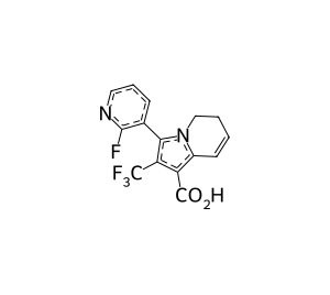 O=C(O)c1c(C(F)(F)F)c(-c2cccnc2F)n2c1C=CCC2